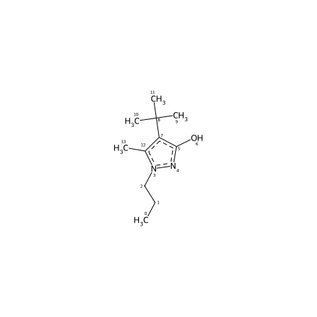 CCCn1nc(O)c(C(C)(C)C)c1C